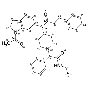 CCNC(=O)C(c1ccccc1)N1CCC(N(C(=O)/C=C/c2ccccc2)c2ccc3c(c2)N(C(C)=O)CC3)CC1